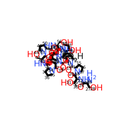 C[C@@H](O)[C@H](NC(=O)[C@@H]1CCCN1C(=O)[C@@H]1CCCN1C(=O)[C@@H](NC(=O)[C@@H](N)CO)[C@@H](C)O)C(=O)N1CCC[C@H]1C(=O)N[C@@H](CO)C(=O)N1CCC[C@H]1C(=O)N[C@@H](CO)C(=O)N[C@H](C(=O)N1CCC[C@H]1C(=O)N1CCC[C@H]1C(=O)O)[C@@H](C)O